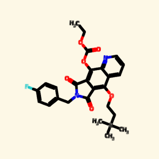 CCOC(=O)Oc1c2c(c(OCC[Si](C)(C)C)c3cccnc13)C(=O)N(Cc1ccc(F)cc1)C2=O